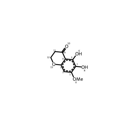 COc1cc2c(c(O)c1O)C(=O)CCO2